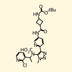 CC(c1cccnc1Cl)N(C(=O)O)c1c(-c2ccc(NC(=O)C3CC(NC(=O)OC(C)(C)C)C3)cn2)nnn1C